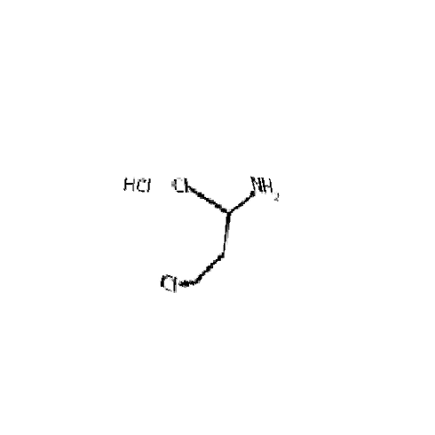 Cl.NC(Cl)CCl